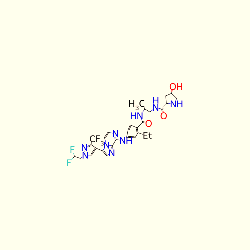 CCc1cc(Nc2nccn3c(-c4cn(CC(F)F)nc4C(F)(F)F)cnc23)ccc1C(=O)NC(C)CNC(=O)[C@@H]1C[C@@H](O)CN1